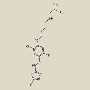 CC(C)CNCCCCNc1cc(F)c(SNc2ncc(F)s2)cc1Cl